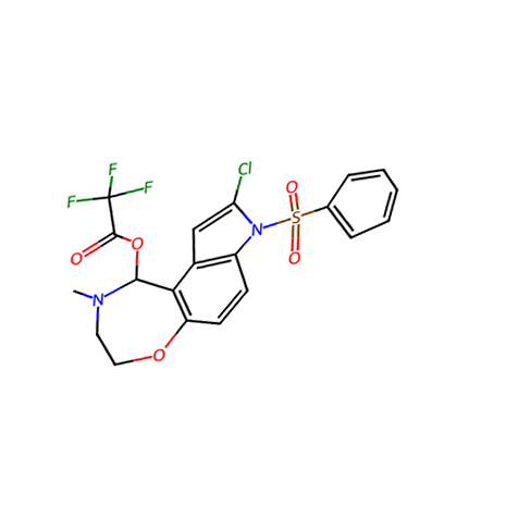 CN1CCOc2ccc3c(cc(Cl)n3S(=O)(=O)c3ccccc3)c2C1OC(=O)C(F)(F)F